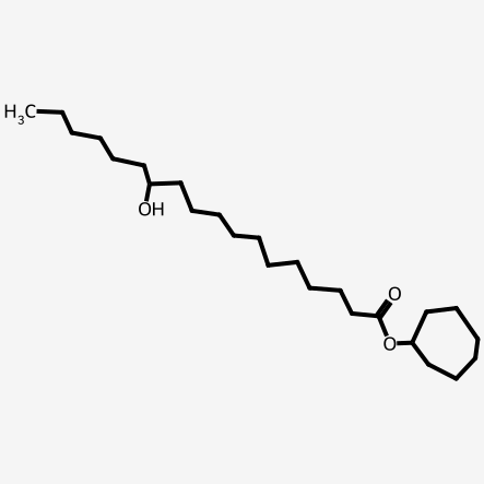 CCCCCCC(O)CCCCCCCCCCC(=O)OC1CCCCCC1